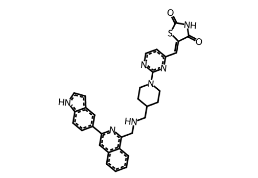 O=C1NC(=O)/C(=C/c2ccnc(N3CCC(CNCc4nc(-c5ccc6[nH]ccc6c5)cc5ccccc45)CC3)n2)S1